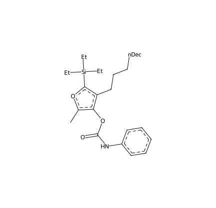 CCCCCCCCCCCCCc1c([Si](CC)(CC)CC)oc(C)c1OC(=O)Nc1ccccc1